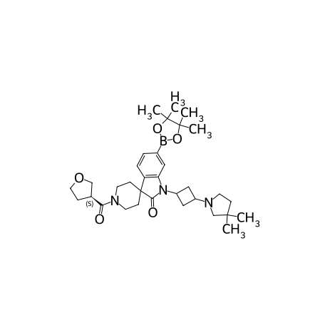 CC1(C)CCN(C2CC(N3C(=O)C4(CCN(C(=O)[C@H]5CCOC5)CC4)c4ccc(B5OC(C)(C)C(C)(C)O5)cc43)C2)C1